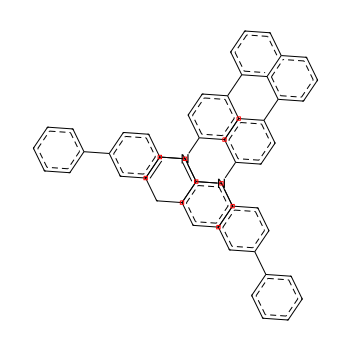 C1=CCCC(N(c2ccc(-c3ccccc3)cc2)c2ccc(-c3cccc4cccc(-c5ccc(N(c6ccccc6)c6ccc(-c7ccccc7)cc6)cc5)c34)cc2)=C1